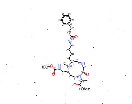 COC(=O)[C@H](C)N1CCC(CNC(=O)OC(C)(C)C)N(C)[C@@H](CCCCNC(=O)OCc2ccccc2)CNCC1=O